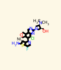 CN(C)[C@@H]1CN(c2ncc3c4c(c(-c5ncc(F)c6sc(N)c(C#N)c56)c(Cl)c3n2)COC4)C[C@@H]1CO